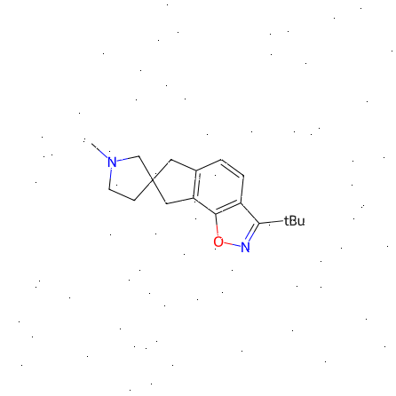 CN1CCC2(Cc3ccc4c(C(C)(C)C)noc4c3C2)C1